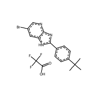 CC(C)(C)c1ccc(-c2nc3ncc(Br)cc3[nH]2)cc1.O=C(O)C(F)(F)F